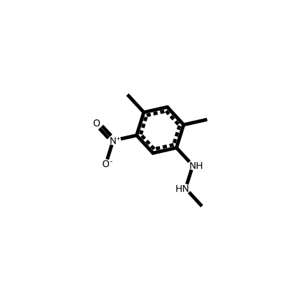 CNNc1cc([N+](=O)[O-])c(C)cc1C